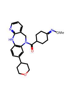 CON=C1CCC(C(=O)N2Cc3cccnc3Nc3ccc(C4CCOCC4)cc32)CC1